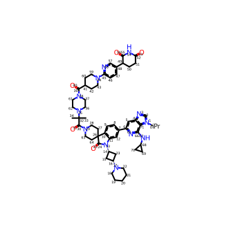 CC(C)n1cnc2cc(-c3ccc4c(c3)N([C@H]3C[C@@H](N5CCCCC5)C3)C(=O)C43CCN(C(=O)C(C)(C)N4CCN(C(=O)C5CCN(c6ccc(C7CCC(=O)NC7=O)cn6)CC5)CC4)CC3)nc(NC3CC3)c21